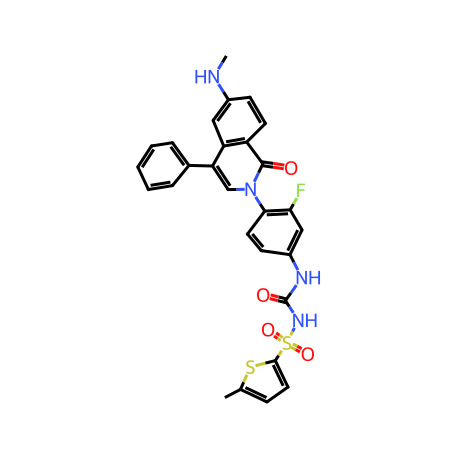 CNc1ccc2c(=O)n(-c3ccc(NC(=O)NS(=O)(=O)c4ccc(C)s4)cc3F)cc(-c3ccccc3)c2c1